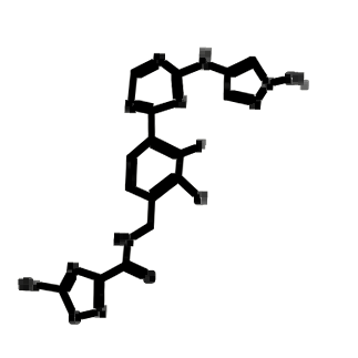 Cn1cc(Nc2ncnc(-c3ccc(CNC(=O)c4noc(C(C)(C)C)n4)c(Cl)c3F)n2)cn1